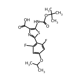 CC(C)Oc1cc(F)c(-c2nc(C(=O)O)c(NC(=O)OC(C)(C)C)s2)c(F)c1